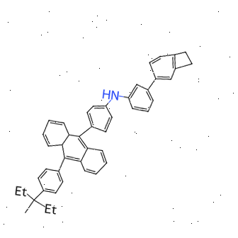 CCC(C)(CC)c1ccc(C2=c3ccccc3=C(c3ccc(Nc4cccc(-c5ccc6c(c5)CC6)c4)cc3)C3C=CC=CC23)cc1